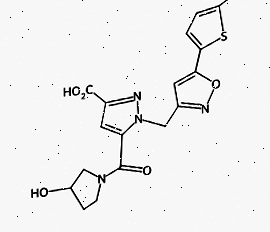 O=C(O)c1cc(C(=O)N2CCC(O)C2)n(Cc2cc(-c3ccc(Cl)s3)on2)n1